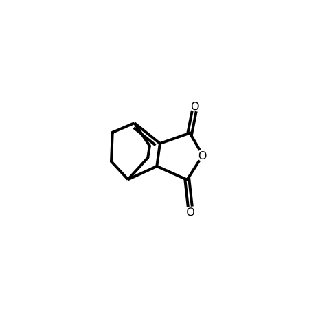 O=C1OC(=O)C2C1=C1CCC2CC1